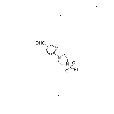 CCS(=O)(=O)N1CCN(c2ccc(C=O)cc2)CC1